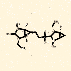 CC(C)(C)C1[C@H](CN)[C@@H]2C(CCC(C)(C)C3[C@H](CN)[C@H]4CC4N3C(C)(C)C)[C@@H]2N1C(C)(C)C